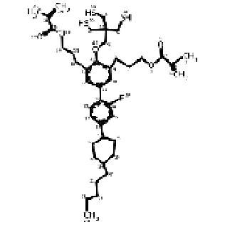 C=C(C)C(=O)OCCCc1cc(-c2ccc(C3CCC(CCCCC)CC3)cc2F)cc(CCCOC(=O)C(=C)C)c1OCC(CS)(CS)CS